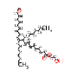 CCCCCCCCC(CCCCCCCCC=O)C(CCCCCCCC)CCCCCCCCC(=O)OCCO